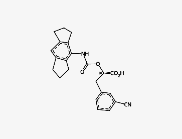 N#Cc1cccc(C[C@@H](OC(=O)Nc2c3c(cc4c2CCC4)CCC3)C(=O)O)c1